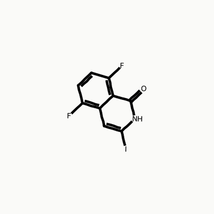 O=c1[nH]c(I)cc2c(F)ccc(F)c12